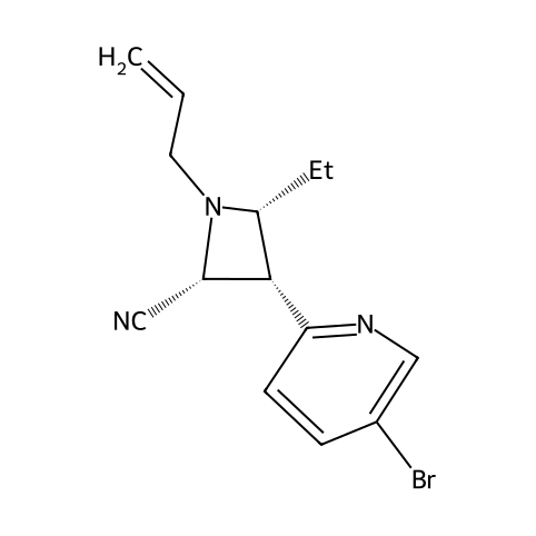 C=CCN1[C@H](CC)[C@H](c2ccc(Br)cn2)[C@@H]1C#N